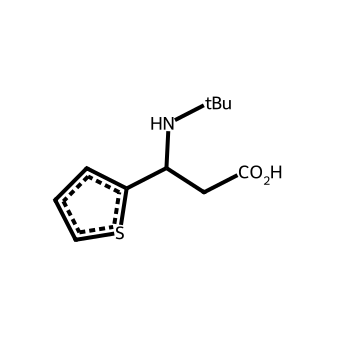 CC(C)(C)NC(CC(=O)O)c1cccs1